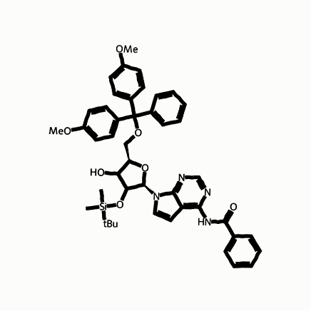 COc1ccc(C(OC[C@H]2O[C@@H](n3ccc4c(NC(=O)c5ccccc5)ncnc43)C(O[Si](C)(C)C(C)(C)C)C2O)(c2ccccc2)c2ccc(OC)cc2)cc1